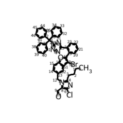 CCCCc1nc(Cl)c(C=O)n1Cc1ccc2oc(-c3ccccc3-c3nnn(C(c4ccccc4)(c4ccccc4)c4ccccc4)n3)c(Br)c2c1